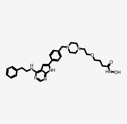 O=C(CCCOCCN1CCN(Cc2ccc(-c3cc4c(NCCc5ccccc5)ncnc4[nH]3)cc2)CC1)NO